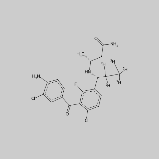 [2H]C([2H])([2H])C([2H])([2H])[C@@H](N[C@H](C)CC(N)=O)c1ccc(Cl)c(C(=O)c2ccc(N)c(Cl)c2)c1F